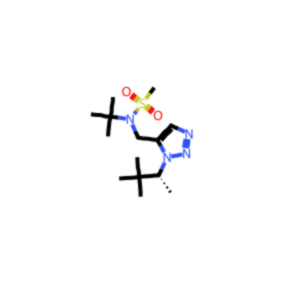 C[C@@H](n1nncc1CN(C(C)(C)C)S(C)(=O)=O)C(C)(C)C